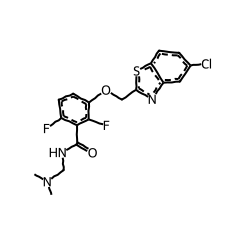 CN(C)CNC(=O)c1c(F)ccc(OCc2nc3cc(Cl)ccc3s2)c1F